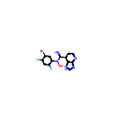 N=C(c1ccnc2nc[nH]c12)N(O)c1cc(Br)c(F)cc1F